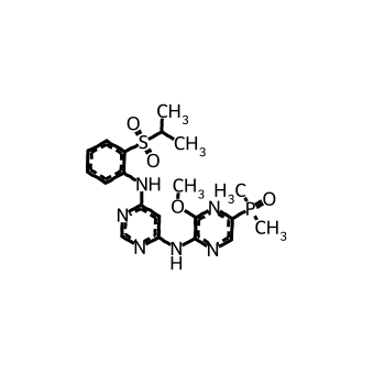 COc1nc(P(C)(C)=O)cnc1Nc1cc(Nc2ccccc2S(=O)(=O)C(C)C)ncn1